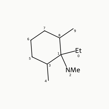 CCC1(NC)C(C)CCCC1C